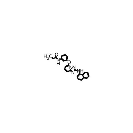 C=CC(=O)Nc1cccc(Oc2cccc3nc(Nc4cccc5ccccc45)nn23)c1